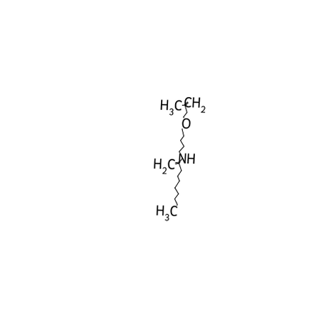 C=C(C)CCOCCCCCNC(=C)CCCCCCCC